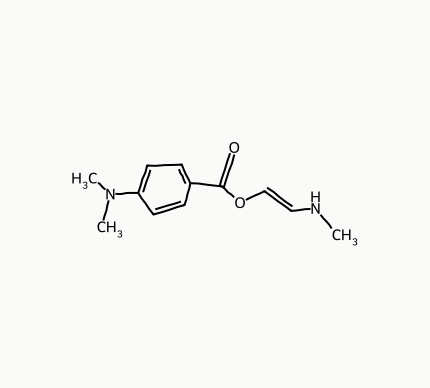 CNC=COC(=O)c1ccc(N(C)C)cc1